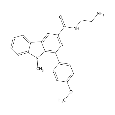 COc1ccc(-c2nc(C(=O)NCCN)cc3c4ccccc4n(C)c23)cc1